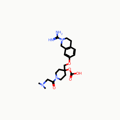 CN(C)CC(=O)N1CCC(COc2ccc3c(c2)CN(C(=N)N)CC3)(OC(=O)O)CC1